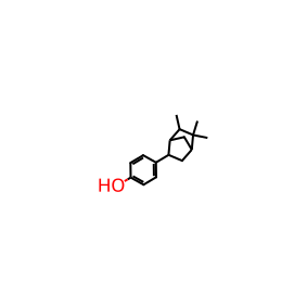 CC1C2CC(CC2c2ccc(O)cc2)C1(C)C